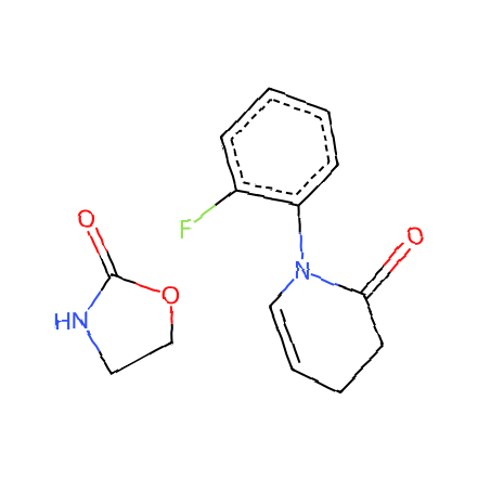 O=C1CCC=CN1c1ccccc1F.O=C1NCCO1